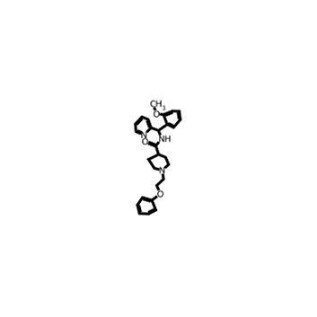 COc1ccccc1C(NC(=O)C1CCN(CCOc2ccccc2)CC1)c1ccccn1